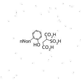 CCCCCCCCCc1ccccc1O.O=C(O)CC(C(=O)O)S(=O)(=O)O